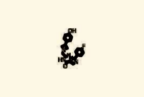 O=c1[nH]c(CN2CC(c3ccc(O)cc3)C2)nn2c(-c3ccc(F)cc3)ncc12